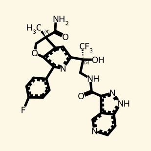 C[C@]1(C(N)=O)COc2c1cc([C@@](O)(CNC(=O)c1n[nH]c3ccncc13)C(F)(F)F)nc2-c1ccc(F)cc1